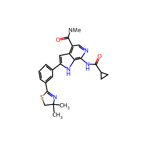 CNC(=O)c1cnc(NC(=O)C2CC2)c2[nH]c(-c3cccc(C4=NC(C)(C)CS4)c3)cc12